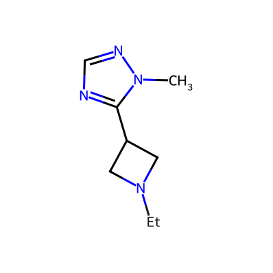 CCN1CC(c2ncnn2C)C1